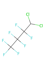 FC(F)(F)C(F)(F)C(F)(F)C(Cl)Cl